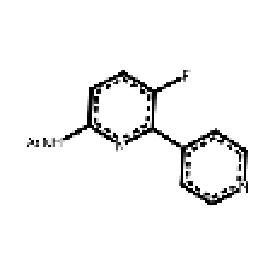 CC(=O)Nc1ccc(F)c(-c2ccncc2)n1